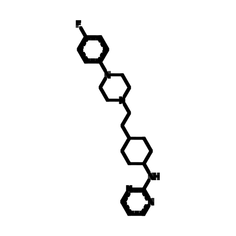 Fc1ccc(N2CCN(CCC3CCC(Nc4ncccn4)CC3)CC2)cc1